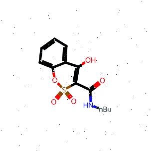 CCCCNC(=O)C1=C(O)c2ccccc2OS1(=O)=O